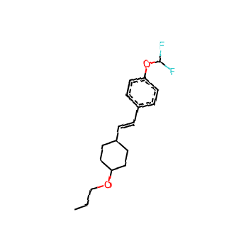 CCCOC1CCC(C=Cc2ccc(OC(F)F)cc2)CC1